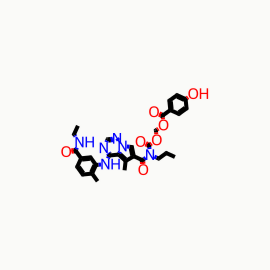 CCCN(C(=O)OCOC(=O)c1ccc(O)cc1)C(=O)c1cn2ncnc(Nc3cc(C(=O)NCC)ccc3C)c2c1C